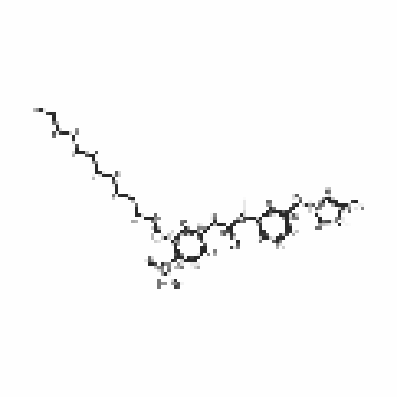 Br.CCCCCCCCCCCCOc1cc(CC(=O)Nc2cccc(CN3C=C(C)SC3)c2)ccc1OC